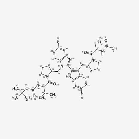 CCC(NC(=O)O)C(=O)N1CCC[C@H]1Cc1c(-c2nc3cc(F)ccc3n2C[C@@H]2CCCN2C(=O)C(NC(=O)OC(C)(C)C)C(C)C)[nH]c2cc(F)ccc12